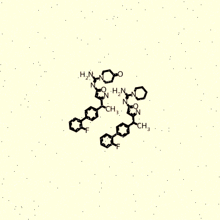 CC(c1ccc(-c2ccccc2F)cc1)c1cc(N=C(N)N2CCC(=O)CC2)on1.CC(c1ccc(-c2ccccc2F)cc1)c1cc(N=C(N)N2CCCCC2)on1